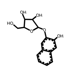 OCC1OC(Oc2cc3ccccc3cc2O)C(O)C1O